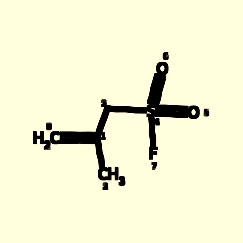 C=C(C)CS(=O)(=O)F